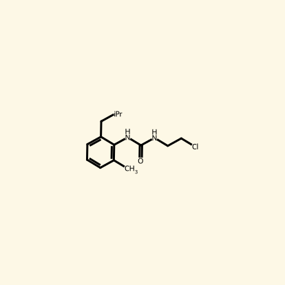 Cc1cccc(CC(C)C)c1NC(=O)NCCCl